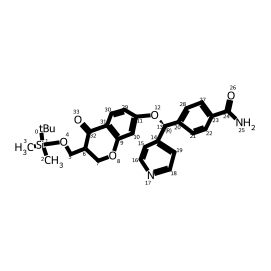 CC(C)(C)[Si](C)(C)OCC1COc2cc(O[C@@H](c3ccncc3)c3ccc(C(N)=O)cc3)ccc2C1=O